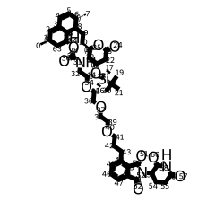 C[C@H]1C=C2C=C[C@H](C)C(CC[C@@H]3C[C@@H](O[Si](C)(C)C(C)(C)C)CC(=O)O3)[C@H]2[C@@H](OC(=O)NCCOCCOCCOCCCc2cccc3c2C(=O)N(C2CCC(=O)NC2=O)C3=O)C1